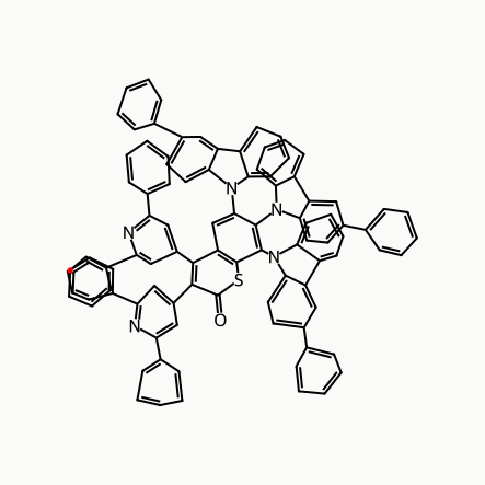 O=c1sc2c(-n3c4ccccc4c4cc(-c5ccccc5)ccc43)c(-n3c4ccccc4c4cc(-c5ccccc5)ccc43)c(-n3c4ccccc4c4cc(-c5ccccc5)ccc43)cc2c(-c2cc(-c3ccccc3)nc(-c3ccccc3)c2)c1-c1cc(-c2ccccc2)nc(-c2ccccc2)c1